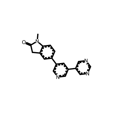 CN1C(=O)Cc2cc(-c3cncc(-c4cncnc4)c3)ccc21